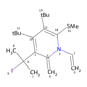 C=CN1C(=C)C(C(C)(C)I)=C(C(C)(C)C)C(C(C)(C)C)=C1SC